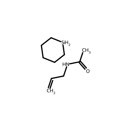 C1CC[SiH2]CC1.C=CCNC(C)=O